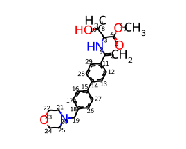 C=C(NC(C(=O)OC)C(C)O)c1ccc(-c2ccc(CN3CCOCC3)cc2)cc1